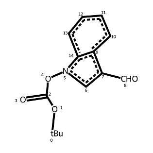 CC(C)(C)OC(=O)On1cc(C=O)c2ccccc21